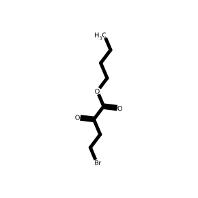 CCCCOC(=O)C(=O)CCBr